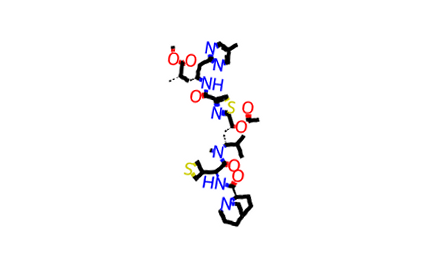 COC(=O)[C@@H](C)C[C@H](Cc1ncc(C)cn1)NC(=O)c1csc([C@@H](C[C@H](C(C)C)N(C)C(=O)[C@@H](NC(=O)[C@H]2CCC3CCCN2C3)C2CSC2)OC(C)=O)n1